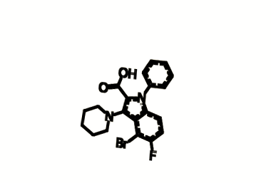 O=C(O)c1c(N2CCCCC2)c2c(Br)c(F)ccc2n1-c1ccccc1